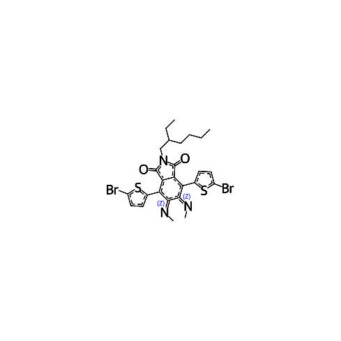 CCCCC(CC)Cn1c(=O)c2c(-c3ccc(Br)s3)c(=N/C)/c(=N\C)c(-c3ccc(Br)s3)c-2c1=O